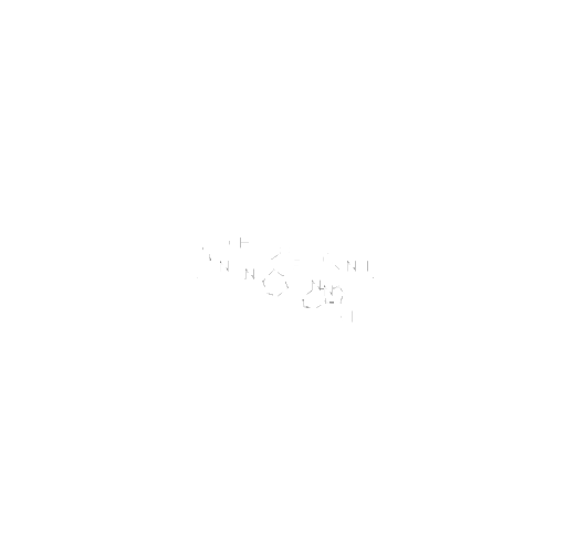 CC1CN(c2ccc(-c3ccc4c(Cl)cc(C(N)=O)n4n3)c(F)c2C=O)CCN1C(=O)C1CC1